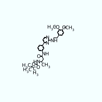 COc1ccc(CCNc2nccc(-c3cccc(NC(=O)CC(C)NC(=O)OC(C)(C)C)c3)n2)cc1OC